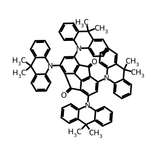 CC1(C)c2ccccc2N(c2cc(N3c4ccccc4C(C)(C)c4ccccc43)c3c4c2c(=O)c2c(N5c6ccccc6C(C)(C)c6ccccc65)cc(N5c6ccccc6C(C)(C)c6ccccc65)c(c2-4)c3=O)c2ccccc21